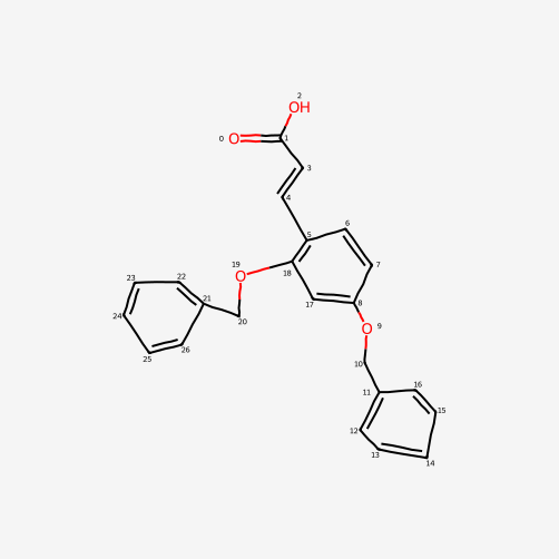 O=C(O)/C=C/c1ccc(OCc2ccccc2)cc1OCc1ccccc1